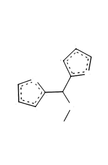 COC(c1ccco1)c1ccco1